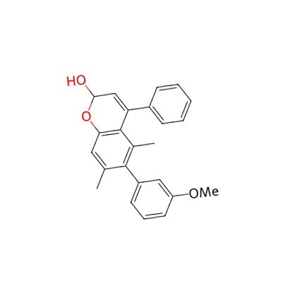 COc1cccc(-c2c(C)cc3c(c2C)C(c2ccccc2)=CC(O)O3)c1